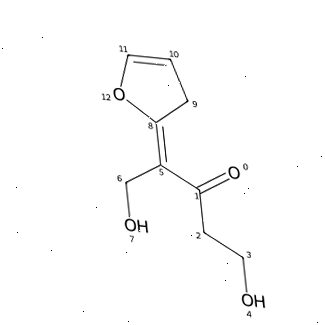 O=C(CCO)C(CO)=C1CC=CO1